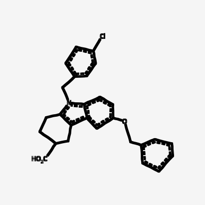 O=C(O)C1CCc2c(c3cc(OCc4ccccc4)ccc3n2Cc2ccc(Cl)cc2)C1